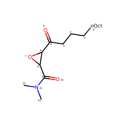 CCCCCCCCCCCC(=O)C1OC1C(=O)N(C)C